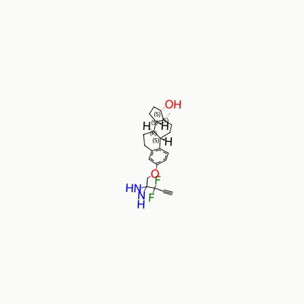 C#CC(F)(F)C1(COc2ccc3c(c2)CC[C@@H]2[C@@H]3CC[C@]3(C)[C@@H](O)CC[C@@H]23)NN1